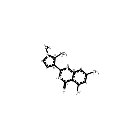 Cc1cc(C(C)C)c2c(=O)oc(-c3ccn(C)c3[N+](=O)[O-])nc2c1